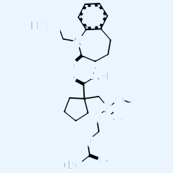 CCOP(=O)(CC1(C(=O)N[C@H]2CCc3ccccc3N(CC(=O)O)C2=O)CCCC1)OCOC(=O)C(C)(C)C